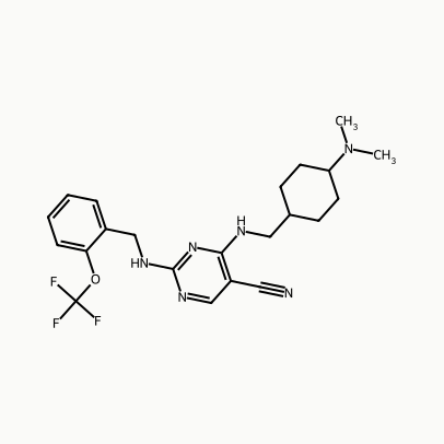 CN(C)C1CCC(CNc2nc(NCc3ccccc3OC(F)(F)F)ncc2C#N)CC1